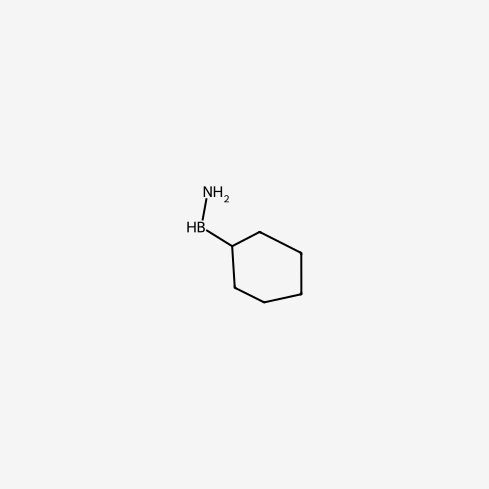 NBC1CCCCC1